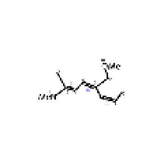 C\C=C/C(=C\C=C(/C)NC)COC